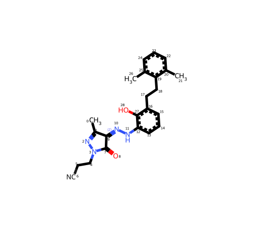 CC1=NN(CCC#N)C(=O)/C1=N\Nc1cccc(CCc2c(C)cccc2C)c1O